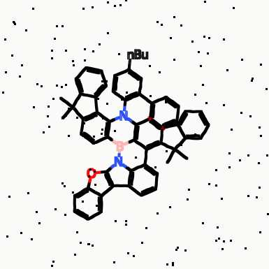 CCCCc1ccc(N2c3cc4c(c5c3B(c3ccc6c(c32)-c2ccccc2C6(C)C)n2c3oc6ccccc6c3c3cccc-5c32)C(C)(C)c2ccccc2-4)c(-c2ccccc2)c1